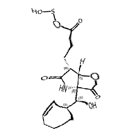 O=C(CC[C@H]1C(=O)N[C@@]2([C@@H](O)[C@@H]3C=CCCC3)C(=O)O[C@@H]12)OSO